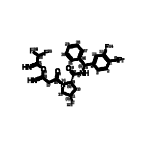 CC(C)c1ccc([C@@H](NC(=O)[C@@H]2C[C@@H](F)CN2C(=O)CC(=N)OC(=N)C(F)F)c2ccccc2)cc1F